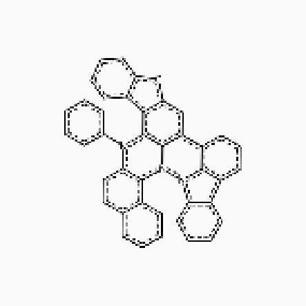 c1ccc(-n2c3ccc4ccccc4c3n3n4c5ccccc5c5cccc(c6cc7oc8ccccc8c7c2c6-3)c54)cc1